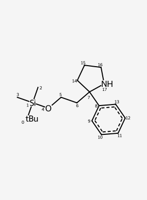 CC(C)(C)[Si](C)(C)OCCC1(c2ccccc2)CCCN1